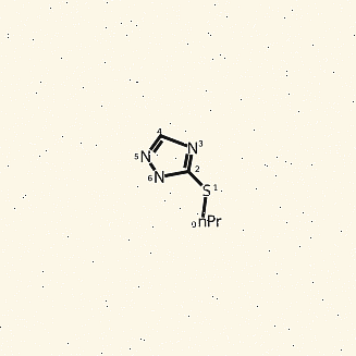 CCCSC1=NC=N[N]1